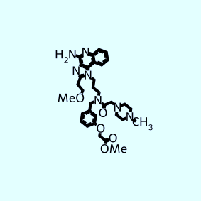 COCCc1nc2c(N)nc3ccccc3c2n1CCCN(Cc1cccc(OCC(=O)OC)c1)C(=O)CN1CCN(C)CC1